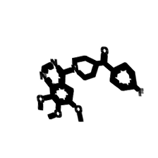 COc1cc2c(N3CCC(C(=O)c4ccc(F)cc4)CC3)ncnc2c(OC)c1OC